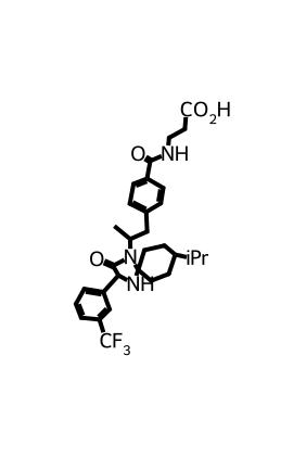 CC(C)C1CCC2(CC1)NC(c1cccc(C(F)(F)F)c1)C(=O)N2C(C)Cc1ccc(C(=O)NCCC(=O)O)cc1